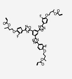 C=CC(=O)OC(C)CCOc1ccc(-c2noc(-c3cc(-c4nc(-c5ccc(OCCC(C)OC(=O)C=C)c(F)c5)no4)cc(-c4nc(-c5ccc(OCCC(C)OC(=O)C=C)c(F)c5)no4)c3)n2)cc1F